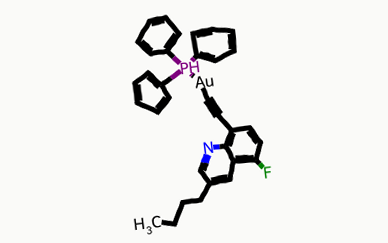 CCCCc1cnc2c(C#[C][Au][PH](c3ccccc3)(c3ccccc3)c3ccccc3)ccc(F)c2c1